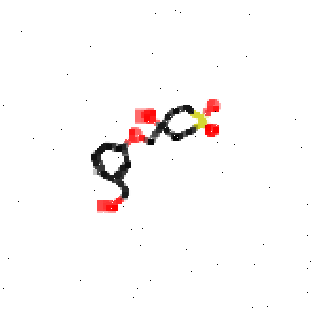 O=S1(=O)CCC(O)(COc2cc[c]c(CO)c2)CC1